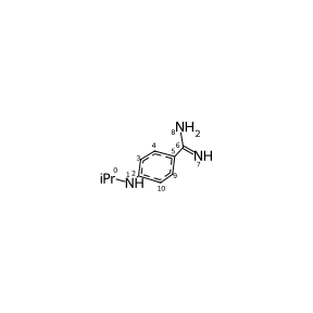 CC(C)Nc1ccc(C(=N)N)cc1